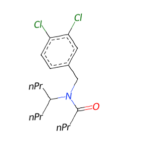 CCCC(=O)N(Cc1ccc(Cl)c(Cl)c1)C(CCC)CCC